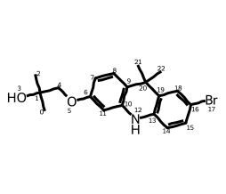 CC(C)(O)COc1ccc2c(c1)Nc1ccc(Br)cc1C2(C)C